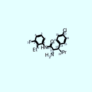 CCc1c(F)cccc1NC(=O)[C@@H](N)[C@@H](c1ccc(Cl)cc1)C(C)C